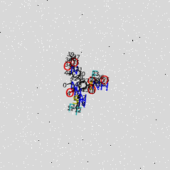 CCn1c(=O)n(-c2nnc(C(F)F)s2)c2cc(S(=O)(=O)NC3(CF)COC3)cc(C3=CCN(C(=O)OC(C)(C)C)C(C)C3)c21